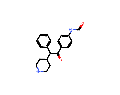 O=CNc1ccc(C(=O)C(c2ccccc2)C2CCNCC2)cc1